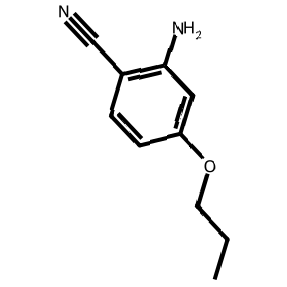 CCCOc1ccc(C#N)c(N)c1